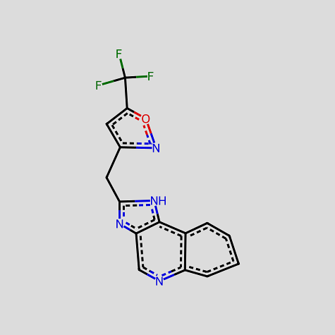 FC(F)(F)c1cc(Cc2nc3cnc4ccccc4c3[nH]2)no1